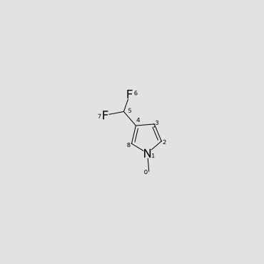 Cn1c[c]c(C(F)F)c1